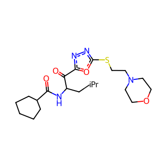 CC(C)CC(NC(=O)C1CCCCC1)C(=O)c1nnc(SCCN2CCOCC2)o1